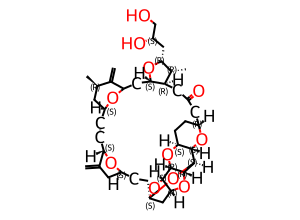 C=C1C2C[C@@H]3O[C@H](C[C@H](O)CO)[C@H](C)[C@H]3CC(=O)C[C@H]3CC[C@@H]4O[C@@H]5[C@H]6O[C@@H]7C[C@](CC[C@H]8CC(=C)[C@H](CC[C@@H](C[C@H]1C)O2)O8)(O[C@H]6[C@H]4O3)O[C@H]57